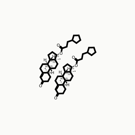 C[C@]12CC[C@H]3[C@@H](CCC4=CC(=O)CC[C@@]43C)[C@@H]1CC[C@@H]2OC(=O)CCC1CCCC1.C[C@]12CC[C@H]3[C@@H](CCC4=CC(=O)CC[C@@]43C)[C@@H]1CC[C@@H]2OC(=O)CCC1CCCC1